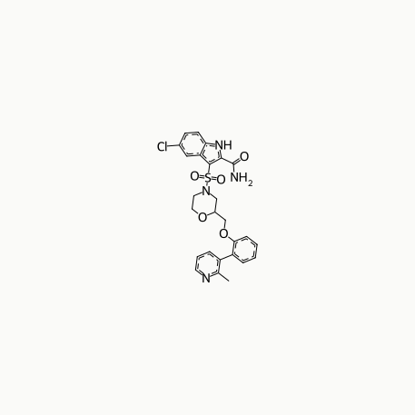 Cc1ncccc1-c1ccccc1OCC1CN(S(=O)(=O)c2c(C(N)=O)[nH]c3ccc(Cl)cc23)CCO1